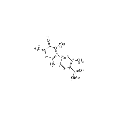 COC(=O)c1cc2[nH]c(CN(C)C(=O)OC(C)(C)C)cc2cc1C